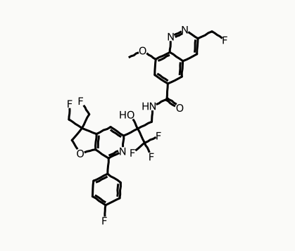 COc1cc(C(=O)NCC(O)(c2cc3c(c(-c4ccc(F)cc4)n2)OCC3(CF)CF)C(F)(F)F)cc2cc(CF)nnc12